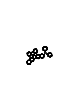 c1ccc(N(c2ccccc2)c2ccc3cc4c(cc3c2)C2(c3ccccc3-c3ccccc32)c2cc3ccccc3cc2-4)cc1